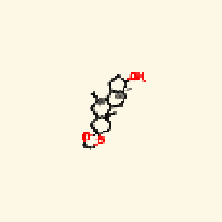 C[C@@H]1CC2CC3(CCC2(C)C2CC[C@]4(C)C(O)CCC4C21)OCCO3